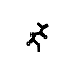 C=C(C)C(=O)NC(=O)SC